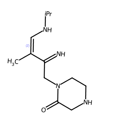 C/C(=C/NC(C)C)C(=N)CN1CCNCC1=O